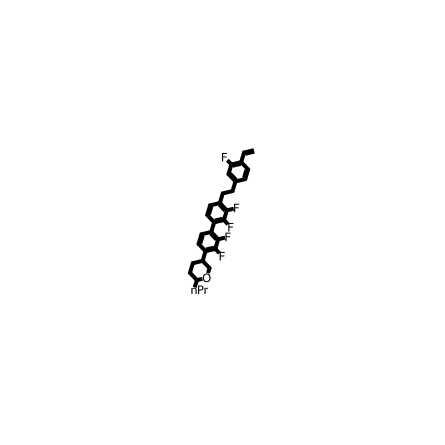 C=Cc1ccc(CCc2ccc(-c3ccc(C4CCC(CCC)OC4)c(F)c3F)c(F)c2F)cc1F